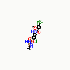 CCOc1cc(C(F)(F)F)ccc1C(=O)NC1Cc2cc(Cl)c(S(=O)(=O)Nc3nnc(C(C)C)s3)cc2C1